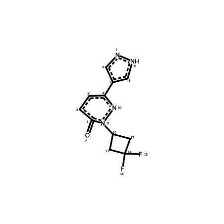 O=c1ccc(-c2cn[nH]c2)nn1C1CC(F)(F)C1